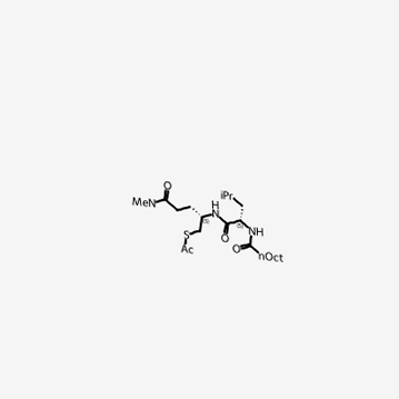 CCCCCCCCC(=O)N[C@@H](CC(C)C)C(=O)N[C@@H](CCC(=O)NC)CSC(C)=O